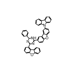 c1ccc(C2N=C(c3cccc4oc5ccccc5c34)N=C(c3ccc4oc5ccc(-n6c7ccccc7c7ccccc76)cc5c4c3)N2)cc1